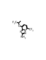 CC(Oc1ccc(C(F)(F)F)n2nc(N)nc12)C(F)(F)F